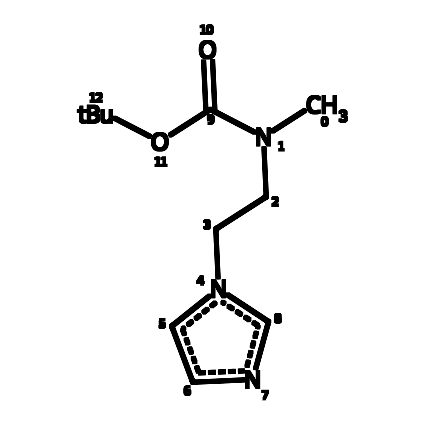 CN(CCn1ccnc1)C(=O)OC(C)(C)C